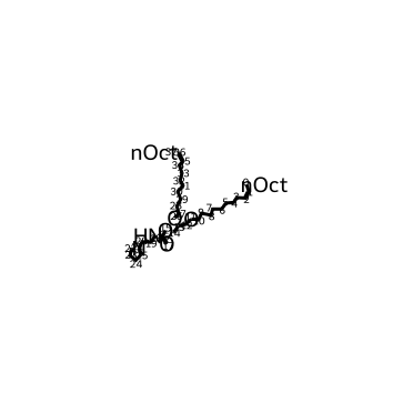 CCCCCCCC/C=C\CCCCCCCCOCC(COC(=O)NCCN1CCCC1)OCCCCCCCC/C=C\CCCCCCCC